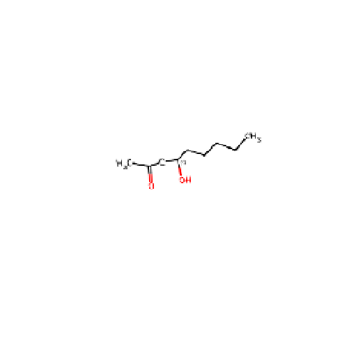 CCCCC[C@@H](O)CC(C)=O